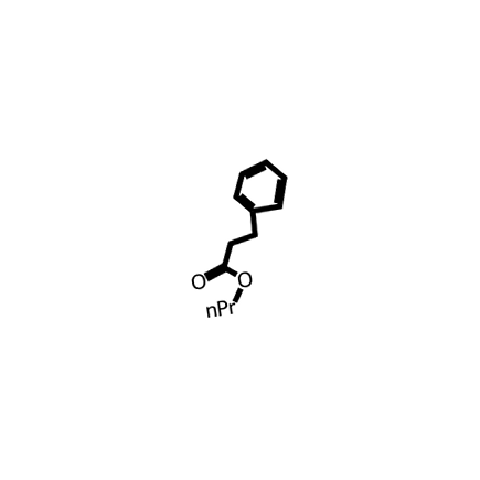 [CH2]CCOC(=O)CCc1ccccc1